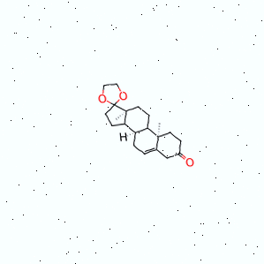 C[C@]12CCC(=O)CC1=CC[C@@H]1C2CC[C@@]2(C)C1CCC21OCCO1